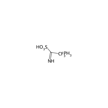 N=C(C(F)(F)F)S(=O)(=O)O.P